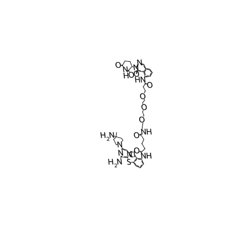 CC1(N)CCN(c2cnc(Sc3cccc(NC(=O)CCCC(=O)NCCOCCOCCOCCC(=O)Nc4cccc5cnn(C6CCC(=O)NC6=O)c(=O)c45)c3Cl)c(N)n2)CC1